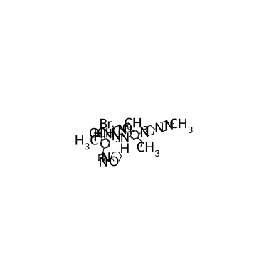 CCc1cc(Nc2ncc(Br)c(Nc3ccc(-c4ccnn4C4CCCCO4)cc3P(C)(C)=O)n2)c(OC)cc1N1CCC(N2CCN(C)CC2)CC1